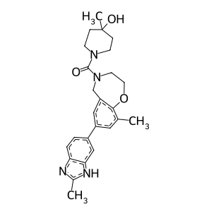 Cc1nc2ccc(-c3cc(C)c4c(c3)CN(C(=O)N3CCC(C)(O)CC3)CCO4)cc2[nH]1